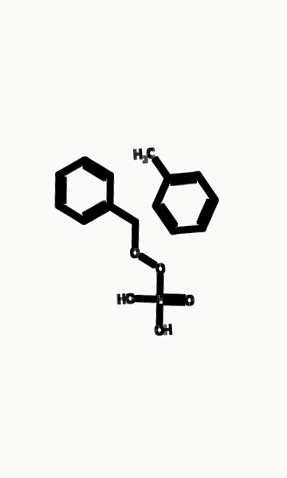 Cc1ccccc1.O=P(O)(O)OOCc1ccccc1